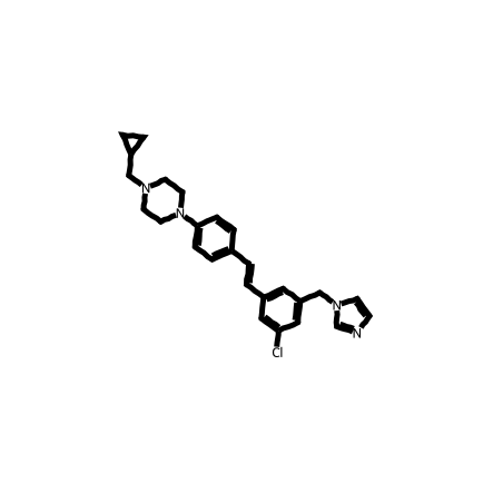 Clc1cc(/C=C/c2ccc(N3CCN(CC4CC4)CC3)cc2)cc(Cn2ccnc2)c1